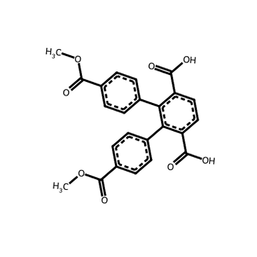 COC(=O)c1ccc(-c2c(C(=O)O)ccc(C(=O)O)c2-c2ccc(C(=O)OC)cc2)cc1